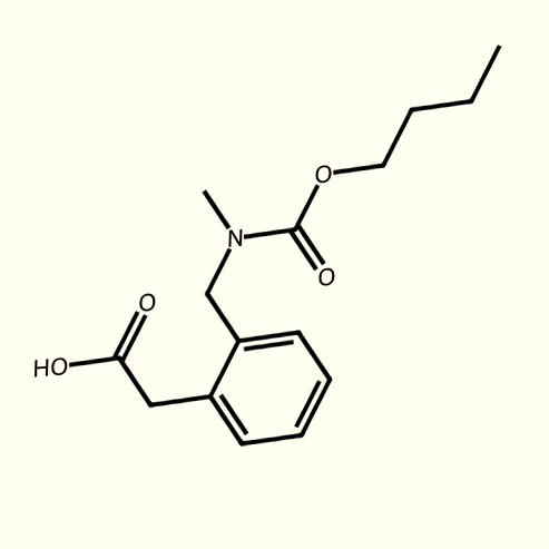 CCCCOC(=O)N(C)Cc1ccccc1CC(=O)O